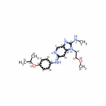 CNc1nc2cnc(Nc3ccc(OC(C)C)cc3)cc2n1CCOC